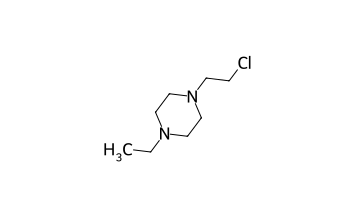 CCN1CCN(CCCl)CC1